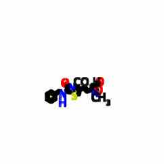 CN1OC(=O)CC1/C=C/C1=C(C(=O)O)N2C(=O)C(NCc3ccccc3)C2SC1